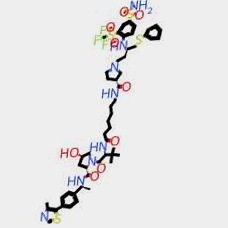 Cc1ncsc1-c1ccc([C@H](C)NC(=O)[C@@H]2C[C@@H](O)CN2C(=O)[C@@H](NC(=O)CCCCCCNC(=O)[C@@H]2CCN(CC[C@H](CSc3ccccc3)Nc3ccc(S(N)(=O)=O)cc3S(=O)(=O)C(F)(F)F)C2)C(C)(C)C)cc1